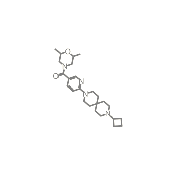 CC1CN(C(=O)c2ccc(N3CCC4(CC3)CCN(C3CCC3)CC4)nc2)CC(C)O1